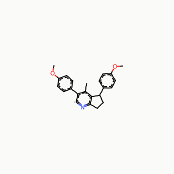 COc1ccc(-c2[c]nc3c(c2C)C(c2ccc(OC)cc2)CC3)cc1